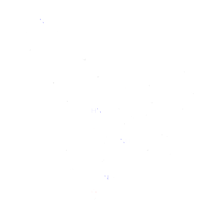 CC1=NCC(C)=C1c1ccc(NC(=O)[C@@H](NC(=O)c2nocc2C)C2c3ccccc3CC23CC3)cc1